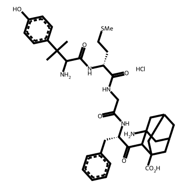 CSCC[C@@H](NC(=O)C(N)C(C)(C)c1ccc(O)cc1)C(=O)NCC(=O)N[C@@H](Cc1ccccc1)C(=O)C1C2(N)CC3CC(C2)CC1(C(=O)O)C3.Cl